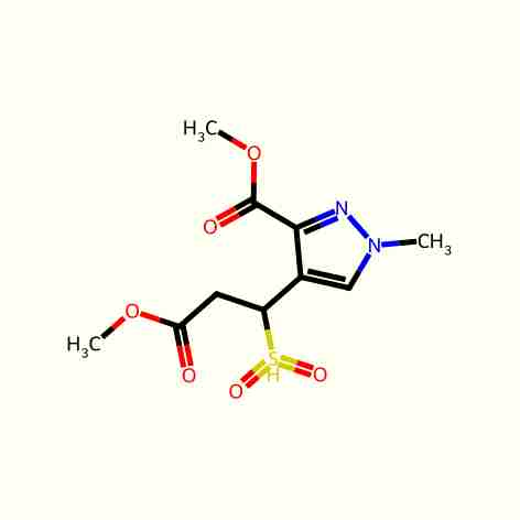 COC(=O)CC(c1cn(C)nc1C(=O)OC)[SH](=O)=O